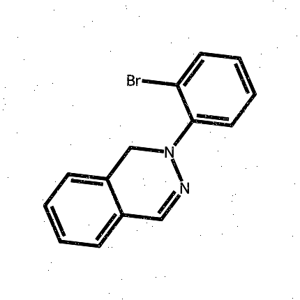 Brc1ccccc1N1Cc2ccccc2C=N1